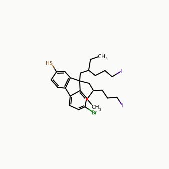 CCC(CCCI)CC1(CC(CC)CCCI)c2cc(S)ccc2-c2ccc(Br)cc21